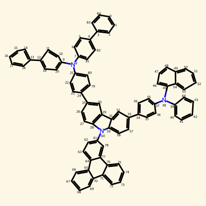 c1ccc(-c2ccc(N(c3ccc(-c4ccccc4)cc3)c3ccc(-c4ccc5c(c4)c4cc(-c6ccc(N(c7ccccc7)c7cccc8ccccc78)cc6)ccc4n5-c4ccc5c6ccccc6c6ccccc6c5c4)cc3)cc2)cc1